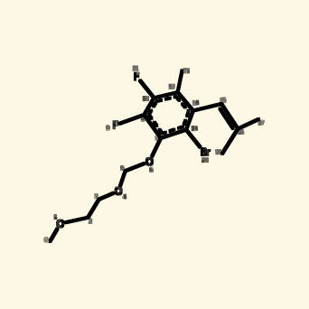 COCCOCOc1c(F)c(F)c(C)c(C=C(C)C)c1Br